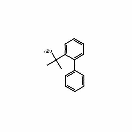 CCCCC(C)(C)c1ccccc1-c1ccccc1